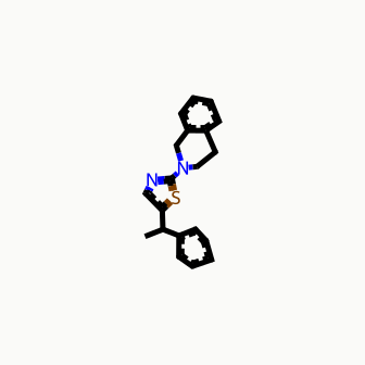 CC(c1ccccc1)c1cnc(N2CCc3ccccc3C2)s1